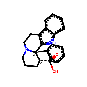 O=C(O)[C@@H]1CCCN2CCc3c([nH]c4ccccc34)[C@]12c1ccccc1